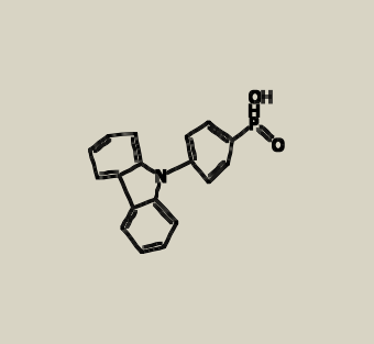 O=[PH](O)c1ccc(-n2c3ccccc3c3ccccc32)cc1